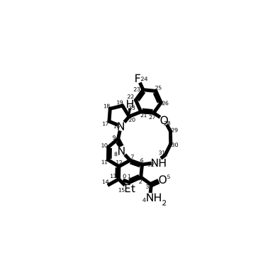 C\C=C(C(N)=O)/C1=c2/nc(cc/c2=C(\C)CC)N2CCC[C@@H]2c2cc(F)ccc2OCCCN1